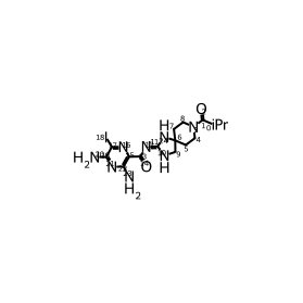 CC(C)C(=O)N1CCC2(CC1)CN/C(=N\C(=O)c1nc(I)c(N)nc1N)N2